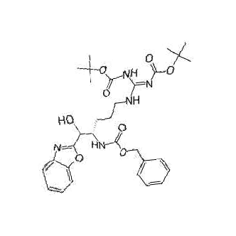 CC(C)(C)OC(=O)/N=C(/NCCC[C@H](NC(=O)OCc1ccccc1)C(O)c1nc2ccccc2o1)NC(=O)OC(C)(C)C